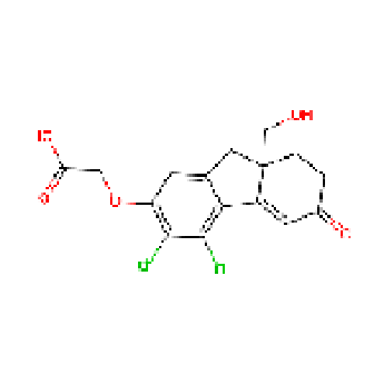 O=C(O)COc1cc2c(c(Cl)c1Cl)C1=CC(=O)CCC1(CO)C2